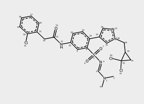 CN(C)C=NS(=O)(=O)c1cc(NC(=O)Cc2ccccc2Cl)ccc1-c1cnn(CC2CC2(Cl)Cl)c1